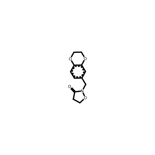 O=C1[CH]CON1Cc1ccc2c(c1)OCCO2